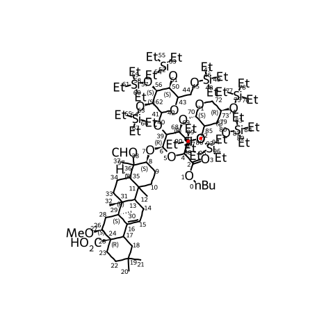 CCCCOC(=O)C1O[C@@H](O[C@H]2CCC3(C)C4CC=C5C6CC(C)(C)CC[C@]6(C(=O)O)[C@@H](OC)C[C@@]5(C)[C@]4(C)CC[C@H]3C2(C)C=O)C(OC2OC(CO[Si](CC)(CC)CC)[C@H](O[Si](CC)(CC)CC)[C@H](O[Si](CC)(CC)CC)[C@@H]2O[Si](CC)(CC)CC)[C@@H](O[C@@H]2OC[C@@H](O[Si](CC)(CC)CC)[C@H](O[Si](CC)(CC)CC)C2O[Si](CC)(CC)CC)[C@@H]1O[Si](CC)(CC)CC